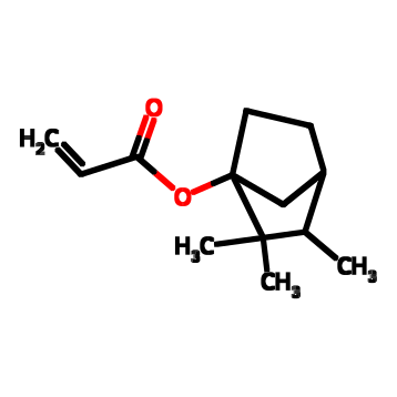 C=CC(=O)OC12CCC(C1)C(C)C2(C)C